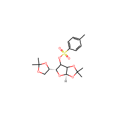 Cc1ccc(S(=O)(=O)OC2C3OC(C)(C)O[C@H]3O[C@@H]2C2COC(C)(C)O2)cc1